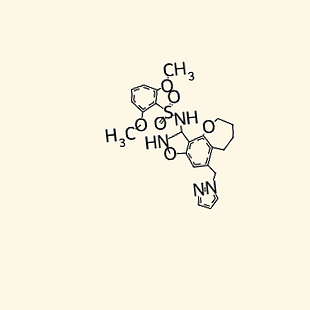 COc1cccc(OC)c1S(=O)(=O)NC1NOc2cc(Cn3cccn3)c3c(c21)OCCCC3